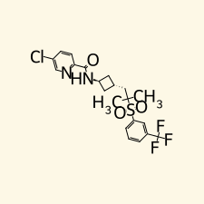 CC(C)(C[C@H]1C[C@H](NC(=O)c2ccc(Cl)cn2)C1)S(=O)(=O)c1cccc(C(F)(F)F)c1